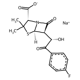 CC1(C)S[C@@H]2[C@H]([C@H](O)C(=O)c3ccc(F)cc3)C(=O)N2[C@H]1C(=O)[O-].[Na+]